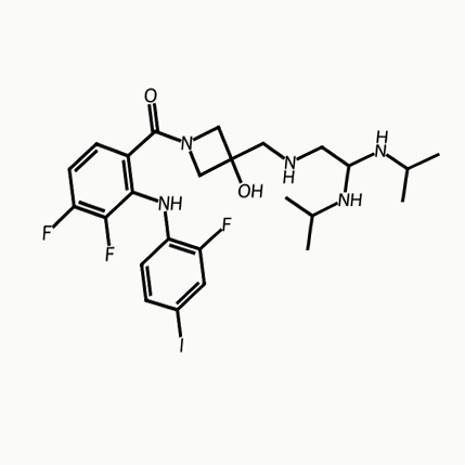 CC(C)NC(CNCC1(O)CN(C(=O)c2ccc(F)c(F)c2Nc2ccc(I)cc2F)C1)NC(C)C